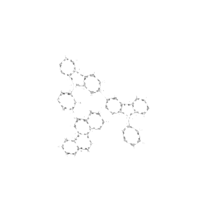 c1ccc(-n2c3ccccc3c3cc(-c4ccc5c6ccccc6n(-c6cccc(-c7cc8c9ccccc9ccc8c8ccccc78)c6)c5c4)ccc32)cc1